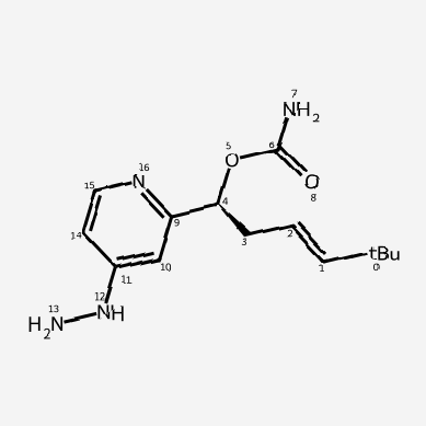 CC(C)(C)C=CC[C@H](OC(N)=O)c1cc(NN)ccn1